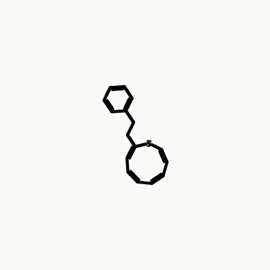 c1cccsc(CCc2ccccc2)ccc1